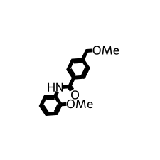 COCc1ccc(C(=O)Nc2ccccc2OC)cc1